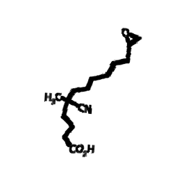 CC(C#N)(CCCCCCC1CO1)CCCC(=O)O